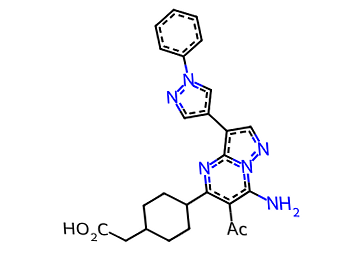 CC(=O)c1c(C2CCC(CC(=O)O)CC2)nc2c(-c3cnn(-c4ccccc4)c3)cnn2c1N